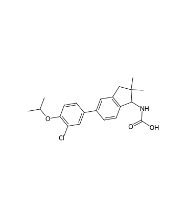 CC(C)Oc1ccc(-c2ccc3c(c2)CC(C)(C)C3NC(=O)O)cc1Cl